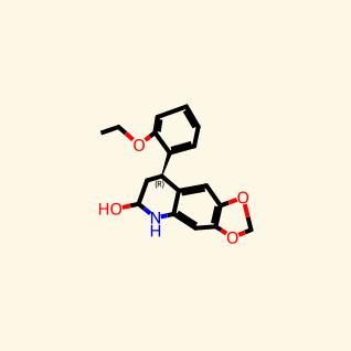 CCOc1ccccc1[C@@H]1CC(O)Nc2cc3c(cc21)OCO3